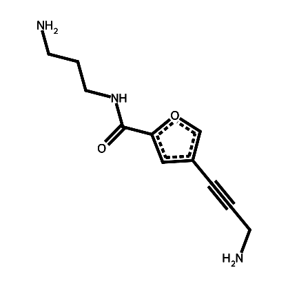 NCC#Cc1coc(C(=O)NCCCN)c1